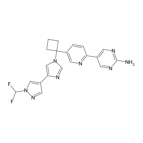 Nc1ncc(-c2ccc(C3(n4cnc(-c5cnn(C(F)F)c5)c4)CCC3)cn2)cn1